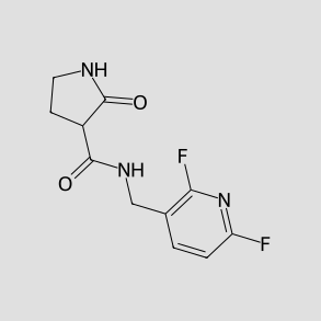 O=C1NCCC1C(=O)NCc1ccc(F)nc1F